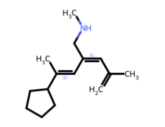 C=C(C)/C=C(\C=C(/C)C1CCCC1)CNC